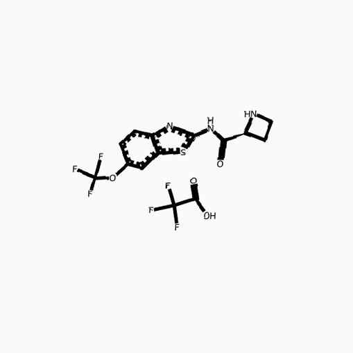 O=C(Nc1nc2ccc(OC(F)(F)F)cc2s1)[C@@H]1CCN1.O=C(O)C(F)(F)F